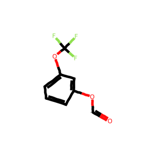 O=[C]Oc1cccc(OC(F)(F)F)c1